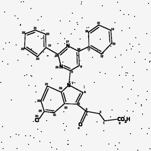 O=C(O)CCC(=O)c1cn(-c2cc(-c3ccccc3)nc(-c3ccccc3)n2)c2ccc(Cl)cc12